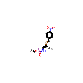 CCO[PH](=O)N/C=C(\C)SCc1ccc([N+](=O)[O-])cc1